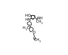 COCCO[C@H]1CC[C@](C)(N2CCC(Nc3cc(C(C)=N)ccc3O)CC2)CC1